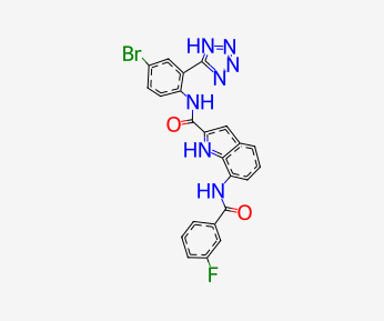 O=C(Nc1cccc2cc(C(=O)Nc3ccc(Br)cc3-c3nnn[nH]3)[nH]c12)c1cccc(F)c1